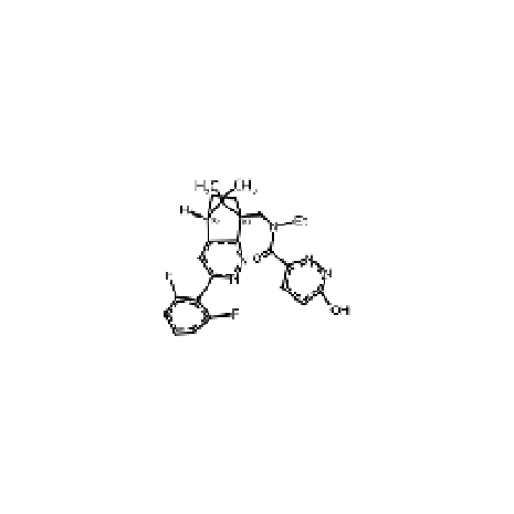 CCN(C[C@@]12CC[C@@H](c3cc(-c4c(F)cccc4F)nnc31)C2(C)C)C(=O)c1ccc(O)nn1